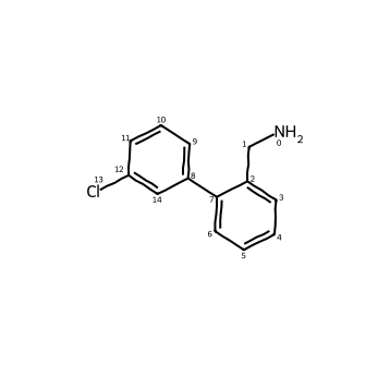 NCc1ccccc1-c1cccc(Cl)c1